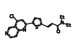 CCN(CC)C(=O)/C=C/c1ccc(-c2cc(Cl)c3cnccc3n2)s1